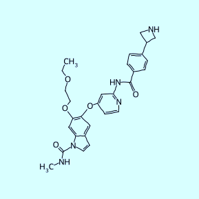 CCOCCOc1cc2c(ccn2C(=O)NC)cc1Oc1ccnc(NC(=O)c2ccc(C3CNC3)cc2)c1